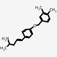 Cc1ccc(COc2ccc(C=CCC(C)N)cc2)cc1C